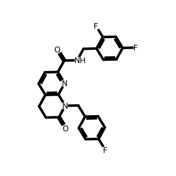 O=C(NCc1ccc(F)cc1F)c1ccc2c(n1)N(Cc1ccc(F)cc1)C(=O)CC2